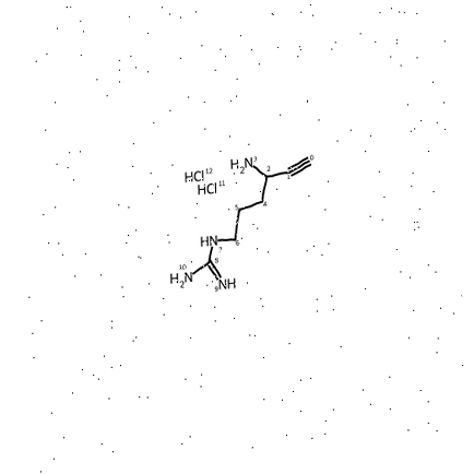 C#CC(N)CCCNC(=N)N.Cl.Cl